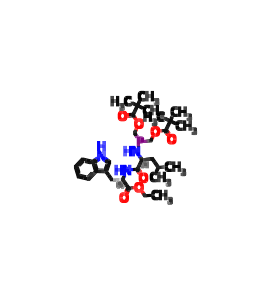 CCOC(=O)[C@H](Cc1c[nH]c2ccccc12)NC(=O)[C@H](CC(C)C)NP(COC(=O)C(C)(C)C)COC(=O)C(C)(C)C